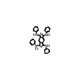 CCN(C1=NC(NC2=CCCC=C2)=c2cc3c(cc21)=C(Nc1ccccc1)N=C3Nc1ccccc1)c1ccccc1